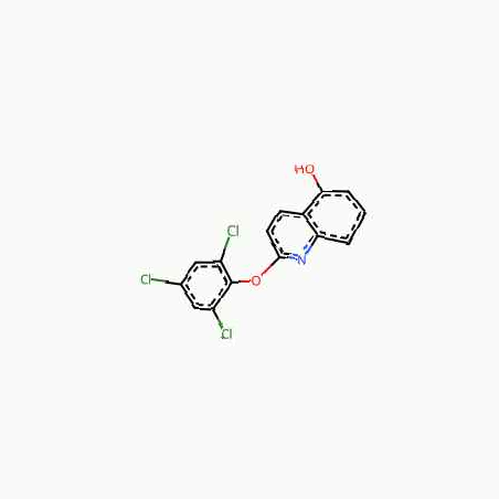 Oc1cccc2nc(Oc3c(Cl)cc(Cl)cc3Cl)ccc12